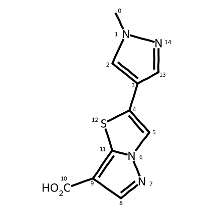 Cn1cc(-c2cn3ncc(C(=O)O)c3s2)cn1